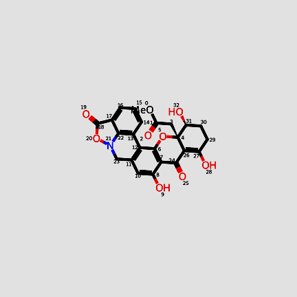 COC(=O)C[C@]12Oc3c(c(O)cc4c3-c3cccc5c(=O)on(c35)C4)C(=O)C1=C(O)CC[C@@H]2O